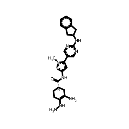 Cn1nc(NC(=O)[C@H]2CCC(NN)=C(N)C2)cc1-c1cnc(NC2Cc3ccccc3C2)nc1